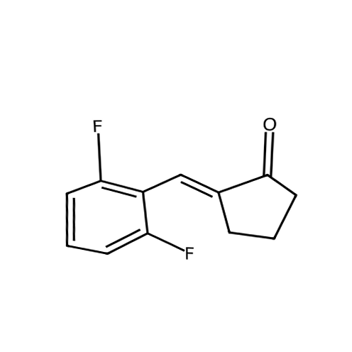 O=C1CCCC1=Cc1c(F)cccc1F